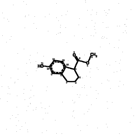 COC(=O)C1CCCc2cc(O)ccc21